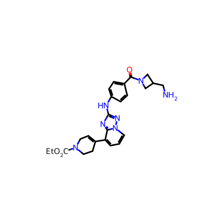 CCOC(=O)N1CC=C(c2cccn3nc(Nc4ccc(C(=O)N5CC(CN)C5)cc4)nc23)CC1